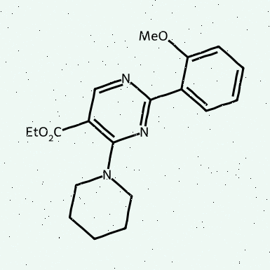 CCOC(=O)c1cnc(-c2ccccc2OC)nc1N1CCCCC1